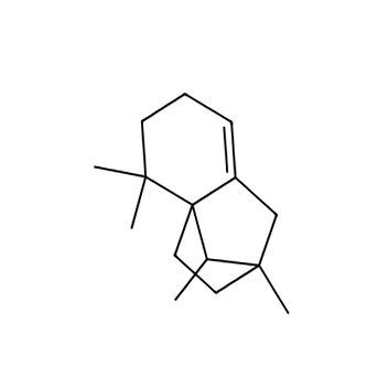 CC1C2(C)CCC13C(=CCCC3(C)C)C2